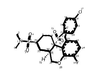 CN(C)S(=O)(=O)[C@H]1CC[C@@]2(S(=O)(=O)c3ccc(Cl)cc3)c3c(F)ccc(F)c3OC[C@H]2C1